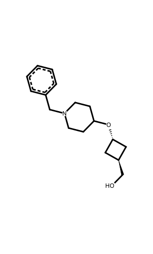 OC[C@H]1C[C@H](OC2CCN(Cc3ccccc3)CC2)C1